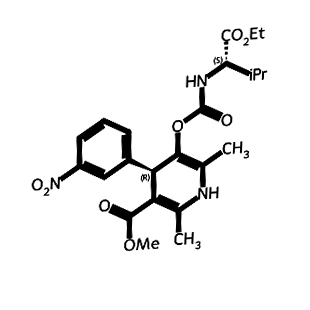 CCOC(=O)[C@@H](NC(=O)OC1=C(C)NC(C)=C(C(=O)OC)[C@H]1c1cccc([N+](=O)[O-])c1)C(C)C